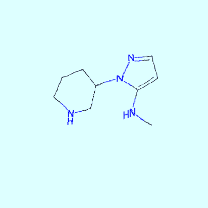 CNc1ccnn1C1CCCNC1